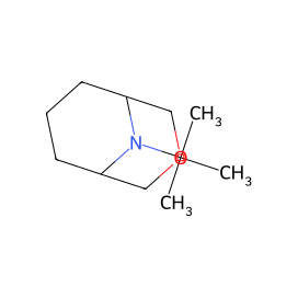 CC(C)(C)N1C2CCCC1COC2